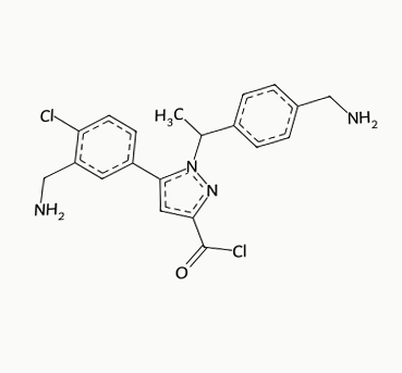 CC(c1ccc(CN)cc1)n1nc(C(=O)Cl)cc1-c1ccc(Cl)c(CN)c1